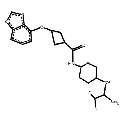 CC(NC1CCC(NC(=O)C2CC(Oc3cccc4scnc34)C2)CC1)C(F)F